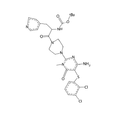 Cn1c(N2CCN(C(=O)C(Cc3ccncc3)NC(=O)OC(C)(C)C)CC2)nc(N)c(Sc2cccc(Cl)c2Cl)c1=O